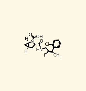 C/C(=C(\F)CNC(=O)[C@@H]1C[C@H]2C[C@H]2N1C(=O)O)c1ccccc1Cl